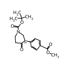 COC(=O)c1ccc([C@@H]2CN(C(=O)OC(C)(C)C)CCC2=O)cc1